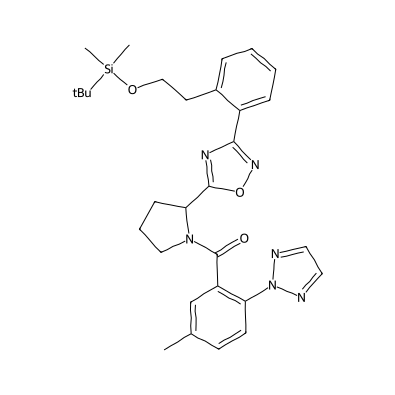 Cc1ccc(-n2nccn2)c(C(=O)N2CCCC2c2nc(-c3ccccc3CCO[Si](C)(C)C(C)(C)C)no2)c1